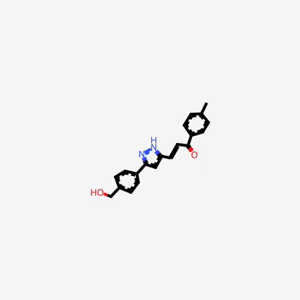 Cc1ccc(C(=O)/C=C/c2cc(-c3ccc(CO)cc3)n[nH]2)cc1